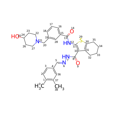 Cc1ccc(C=NNC(=O)c2c(NC(=O)c3cccc(CN4CCC(O)CC4)c3)sc3c2CCCC3)cc1C